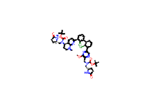 COc1nc(-c2cccc(-c3cccc(-c4ccc5c(n4)N(C)CCC5N(C[C@@H]4CCC(=O)N4)C(=O)OC(C)(C)C)c3Cl)c2Cl)cnc1CN(C[C@@H]1CCC(=O)N1)C(=O)OC(C)(C)C